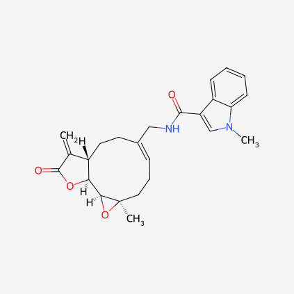 C=C1C(=O)O[C@H]2[C@H]1CC/C(CNC(=O)c1cn(C)c3ccccc13)=C\CC[C@@]1(C)O[C@@H]21